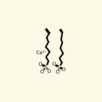 C=CCCCCCCS(=O)(=O)[O-].C=CCCCCCCS(=O)(=O)[O-].[Ca+2]